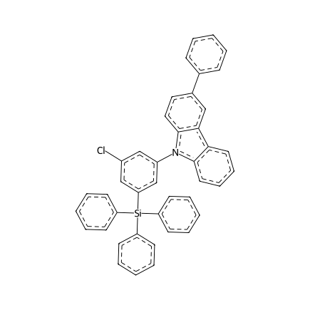 Clc1cc(-n2c3ccccc3c3cc(-c4ccccc4)ccc32)cc([Si](c2ccccc2)(c2ccccc2)c2ccccc2)c1